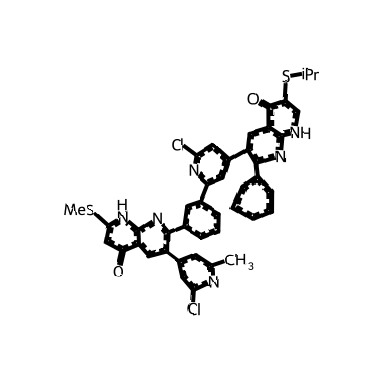 CSc1cc(=O)c2cc(-c3cc(C)nc(Cl)c3)c(-c3cccc(-c4cc(-c5cc6c(=O)c(SC(C)C)c[nH]c6nc5-c5ccccc5)cc(Cl)n4)c3)nc2[nH]1